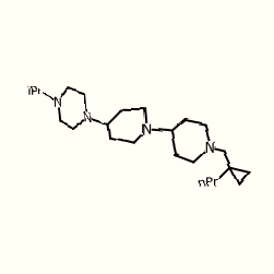 CCCC1(CN2CCC(N3CCC(N4CCN(C(C)C)CC4)CC3)CC2)CC1